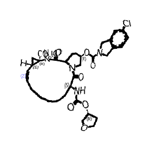 O=C(N[C@H]1CCCCC/C=C\[C@@H]2C[C@@]2(C(=O)O)NC(=O)C2C[C@@H](OC(=O)N3Cc4ccc(Cl)cc4C3)CN2C1=O)O[C@@H]1CCOC1